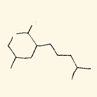 CC(C)CCCC1CC(C)COC1Cl